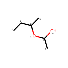 CCC(C)OC(C)O